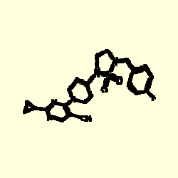 N#Cc1cnc(C2CC2)nc1N1CCC(N2CCN(Cc3ccc(F)cc3)S2(=O)=O)CC1